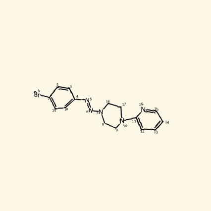 Brc1ccc(N=NN2CCN(c3ccccn3)CC2)cc1